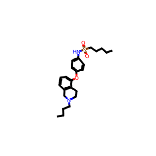 CCCCCS(=O)(=O)Nc1ccc(Oc2cccc3c2CCN(CCCC)C3)cc1